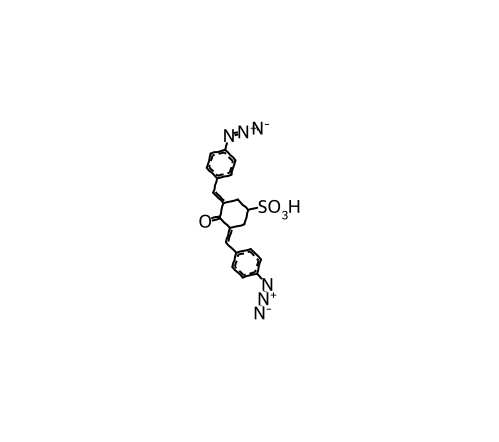 [N-]=[N+]=Nc1ccc(/C=C2\CC(S(=O)(=O)O)C/C(=C\c3ccc(N=[N+]=[N-])cc3)C2=O)cc1